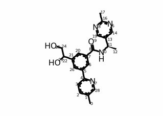 Cc1ccc(-c2cc(C(=O)N[C@H](C)c3cnc(C)nc3)cc(C(O)CO)c2)nc1